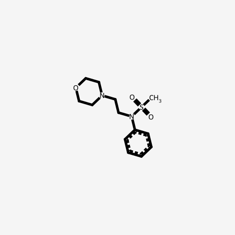 CS(=O)(=O)N(CCN1CCOCC1)c1ccccc1